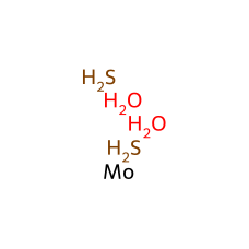 O.O.S.S.[Mo]